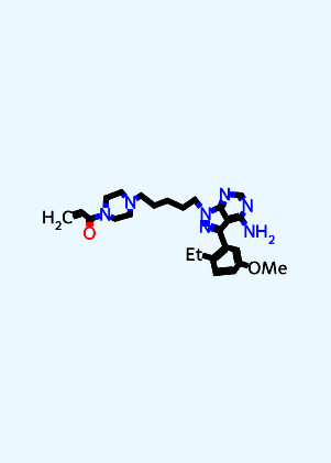 C=CC(=O)N1CCN(CCCCCn2nc(-c3cc(OC)ccc3CC)c3c(N)ncnc32)CC1